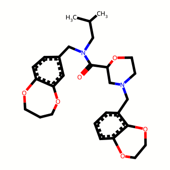 CC(C)CN(Cc1ccc2c(c1)OCCCO2)C(=O)C1CN(Cc2cccc3c2OCCO3)CCO1